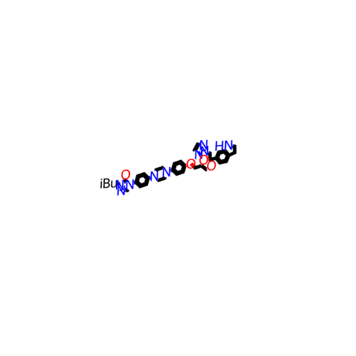 CCC(C)n1ncn(-c2ccc(N3CCN(c4ccc(OCC5COC(Cn6nccn6)(c6ccc7c(c6)NCC7)O5)cc4)CC3)cc2)c1=O